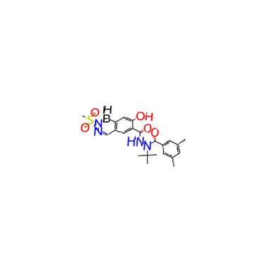 Cc1cc(C)cc(C(=O)N(NC(=O)c2cc3c(cc2O)BN(S(C)(=O)=O)N=C3)C(C)(C)C)c1